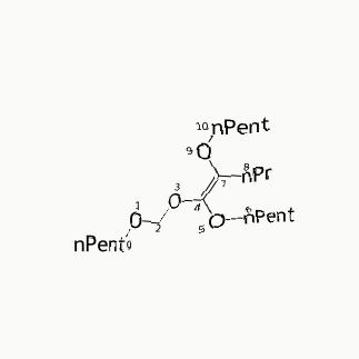 CCCCCOCOC(OCCCCC)=C(CCC)OCCCCC